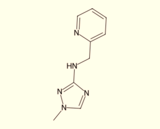 Cn1cnc(NCc2ccccn2)n1